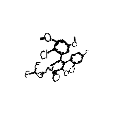 COc1cc(OC)c(Cl)c(-c2cn(OC(F)F)c(=O)c(Cl)c2-c2ccc(F)cc2Cl)c1